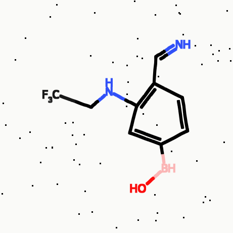 N=Cc1ccc(BO)cc1NCC(F)(F)F